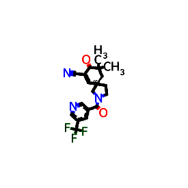 CC1(C)C[C@@]2(C=C(C#N)C1=O)CCN(C(=O)c1cncc(C(F)(F)F)c1)C2